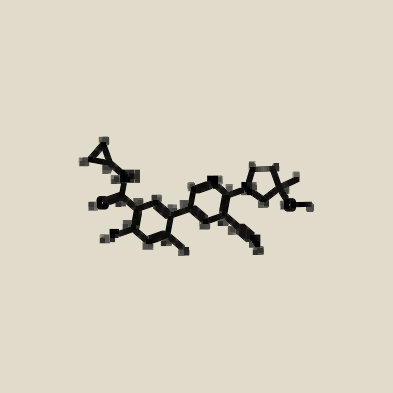 COC1(C)CCN(c2ncc(-c3cc(C(=O)NC4CC4)c(F)cc3C)cc2C#N)C1